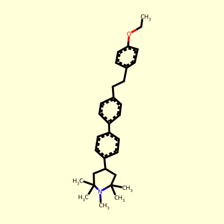 CCOc1ccc(CCc2ccc(-c3ccc(C4CC(C)(C)N(C)C(C)(C)C4)cc3)cc2)cc1